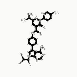 Cc1ccc(-n2nc(C(C)C)cc(C(=O)Nc3ccc(-c4cn(C(F)C(F)F)c5ncnc(N)c45)cc3)c2=O)nc1